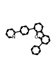 c1ccc(-c2cccc3c2oc2c(-c4ccc(-c5ccccn5)cc4)cccc23)cc1